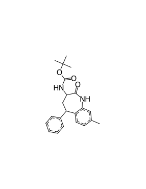 Cc1ccc2c(c1)NC(=O)C(NC(=O)OC(C)(C)C)CC2c1ccccc1